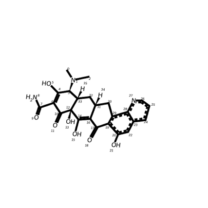 CN(C)[C@@H]1C(O)=C(C(N)=O)C(=O)[C@@]2(O)C(O)=C3C(=O)c4c(O)cc5cccnc5c4C[C@H]3C[C@@H]12